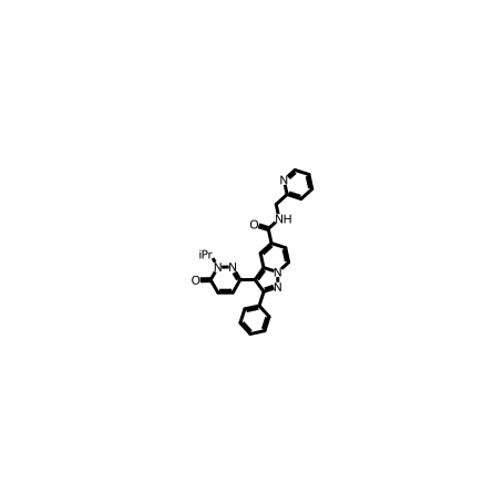 CC(C)n1nc(-c2c(-c3ccccc3)nn3ccc(C(=O)NCc4ccccn4)cc23)ccc1=O